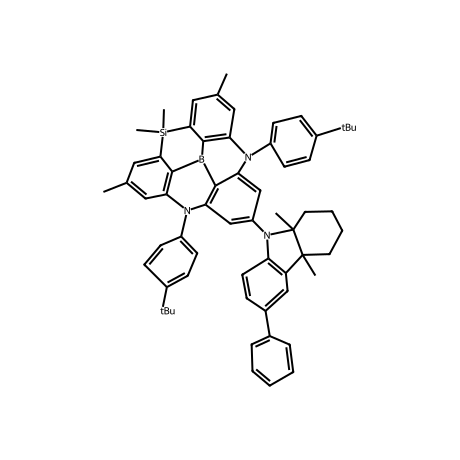 Cc1cc2c3c(c1)[Si](C)(C)c1cc(C)cc4c1B3c1c(cc(N3c5ccc(-c6ccccc6)cc5C5(C)CCCCC35C)cc1N4c1ccc(C(C)(C)C)cc1)N2c1ccc(C(C)(C)C)cc1